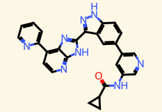 O=C(Nc1cncc(-c2ccc3[nH]nc(-c4nc5c(-c6ccccn6)ccnc5[nH]4)c3c2)c1)C1CC1